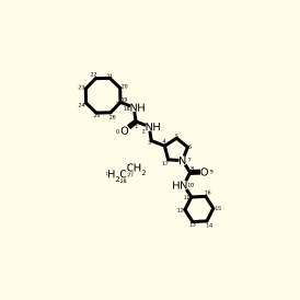 O=C(NCC1CCN(C(=O)NC2CCCCC2)C1)N[C]1CCCCCCC1.[CH2].[CH2]